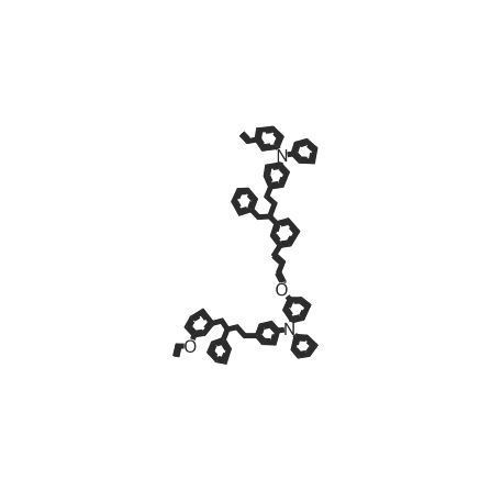 C=COc1cccc(CC(CCc2ccc(N(c3ccccc3)c3cccc(O/C=C/C=Cc4cccc(C(CCc5ccc(N(c6ccccc6)c6cccc(C=C)c6)cc5)Cc5ccccc5)c4)c3)cc2)c2ccccc2)c1